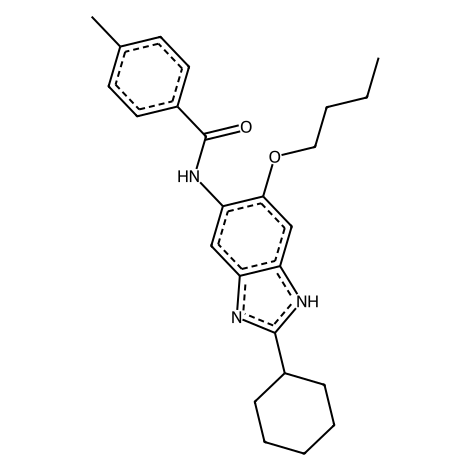 CCCCOc1cc2[nH]c(C3CCCCC3)nc2cc1NC(=O)c1ccc(C)cc1